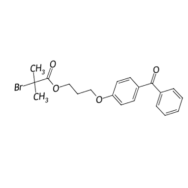 CC(C)(Br)C(=O)OCCCOc1ccc(C(=O)c2ccccc2)cc1